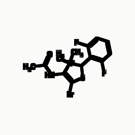 CC(=O)NC1=C(Br)SC(c2c(F)cccc2F)[N+]1(C)C